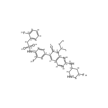 CCC(C)n1c(=O)c(-c2ccc(NS(=O)(=O)Cc3ccccc3F)c(F)c2)cc2cnc(NC3CNCC(F)C3)nc21